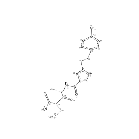 C[C@H](NC(=O)c1c[nH]c(CCc2ccc(C(F)(F)F)cc2)n1)C(=O)[C@H](CC(=O)O)C(N)=O